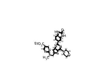 CCOC(=O)c1cnc(N(C)Cc2cc3nc(-c4ccc5[nH]c(=O)[nH]c5c4)nc(N4CCOCC4)c3s2)nc1